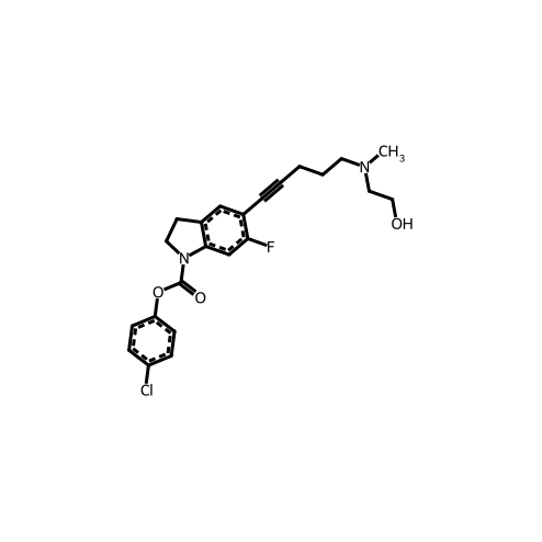 CN(CCO)CCCC#Cc1cc2c(cc1F)N(C(=O)Oc1ccc(Cl)cc1)CC2